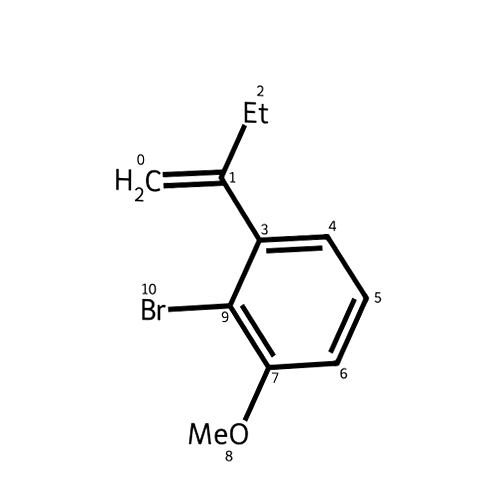 C=C(CC)c1cccc(OC)c1Br